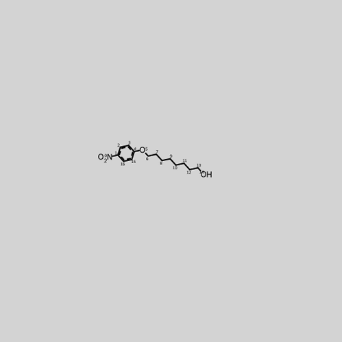 O=[N+]([O-])c1ccc(OCCCCCCCCO)cc1